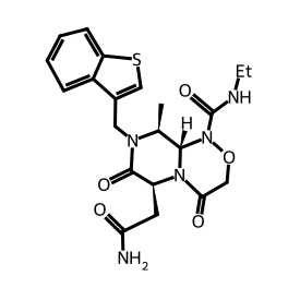 CCNC(=O)N1OCC(=O)N2[C@@H]1[C@H](C)N(Cc1csc3ccccc13)C(=O)[C@@H]2CC(N)=O